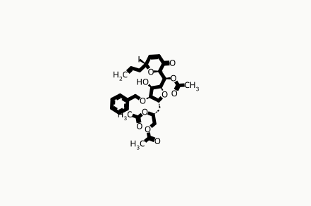 C=CC[C@]1(I)C=CC(=O)[C@@H]([C@@H](OC(C)=O)[C@@H]2O[C@H](C[C@H](COC(C)=O)OC(C)=O)[C@H](OCc3ccccc3)[C@H]2O)O1